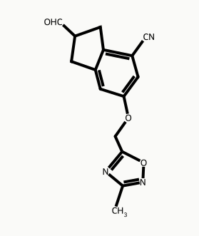 Cc1noc(COc2cc(C#N)c3c(c2)CC(C=O)C3)n1